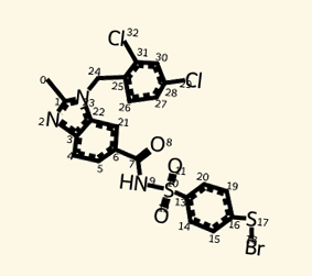 Cc1nc2ccc(C(=O)NS(=O)(=O)c3ccc(SBr)cc3)cc2n1Cc1ccc(Cl)cc1Cl